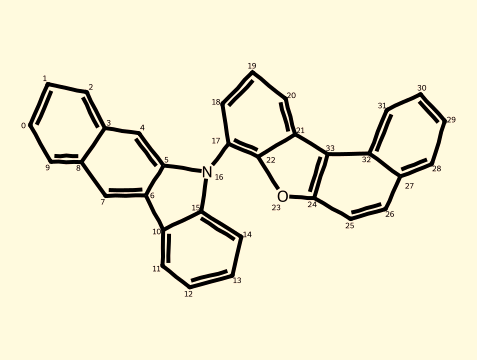 c1ccc2cc3c(cc2c1)c1ccccc1n3-c1cccc2c1oc1ccc3ccccc3c12